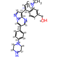 C=Nc1cc(CO)ccc1/C(=C\C)c1cnn2cc(-c3ccc(N4CCNCC4)cc3)cnc12